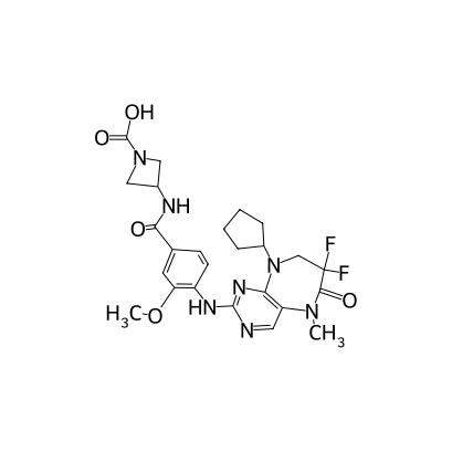 COc1cc(C(=O)NC2CN(C(=O)O)C2)ccc1Nc1ncc2c(n1)N(C1CCCC1)CC(F)(F)C(=O)N2C